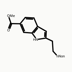 CCCCCCCCCCCc1cc2ccc(C(=O)OC)cc2[nH]1